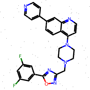 Fc1cc(F)cc(-c2nc(CN3CCN(c4ccnc5cc(-c6ccncc6)ccc45)CC3)no2)c1